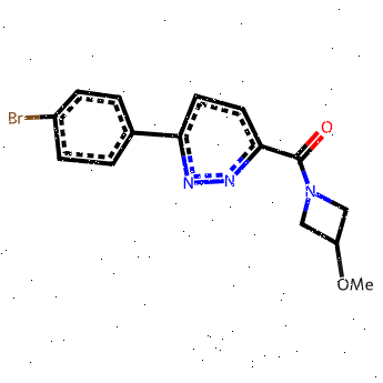 COC1CN(C(=O)c2ccc(-c3ccc(Br)cc3)nn2)C1